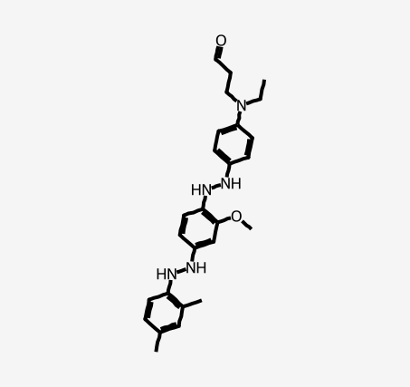 CCN(CCC=O)c1ccc(NNc2ccc(NNc3ccc(C)cc3C)cc2OC)cc1